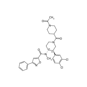 CC(=O)N1CCC(C(=O)N2CC[C@@H](N(C)C(=O)c3cc(-c4ccccc4)no3)[C@H](c3ccc(Cl)c(Cl)c3)C2)CC1